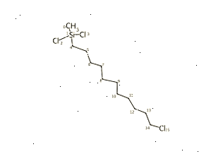 C[Si](Cl)(Cl)CCCCCCCCCCCCl